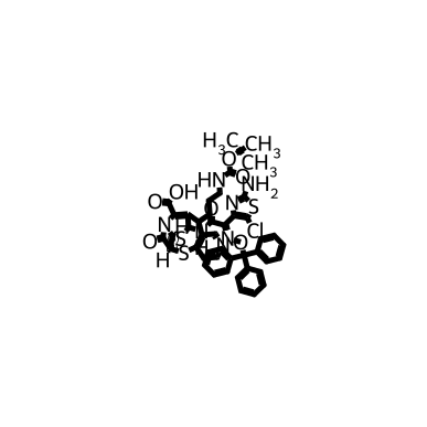 CC(C)(C)OC(=O)NCCCC1C2=C(C(=O)O)N3C(=O)[C@@H](Sc4ccncc41)[C@@H]3SC2NC(=O)C(=NOC(c1ccccc1)(c1ccccc1)c1ccccc1)c1nc(N)sc1Cl